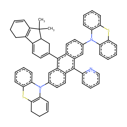 CC1(C)C2=C(CCC=C2)C2=CC=C(c3c4cc(N5C6=C(CCC=C6)Sc6ccccc65)ccc4c(-c4ccccn4)c4cc(N5c6ccccc6Sc6ccccc65)ccc34)CC21